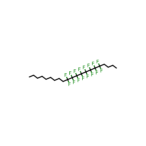 CCCCCCCCCC(F)(F)C(F)(F)C(F)(F)C(F)(F)C(F)(F)C(F)(F)C(F)(F)C(F)(F)CCCC